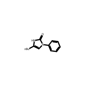 CCCCc1cn(-c2ccccc2)c(=O)[nH]1